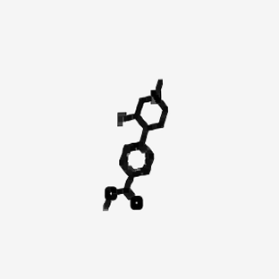 COC(=O)c1ccc(C2CCN(C)CC2F)cc1